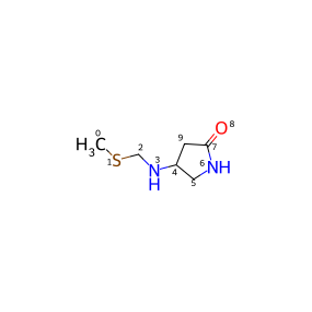 CSCNC1CNC(=O)C1